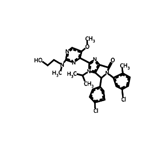 COc1cnc(N(C)CCO)nc1-c1nc2c(n1C(C)C)C(c1ccc(Cl)cc1)N(c1cc(Cl)ccc1C)C2=O